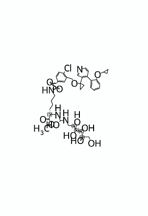 COC(=O)[C@H](CCCCNS(=O)(=O)c1ccc(Cl)c(COC2(c3cnccc3-c3ccccc3OC3CC3)CC2)c1)NC(O)NC[C@H](O)[C@@H](O)[C@H](O)[C@H](O)CO